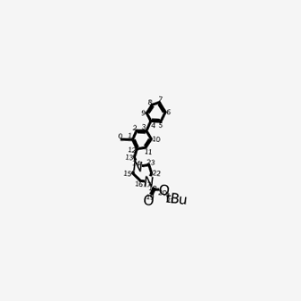 Cc1cc(-c2ccccc2)ccc1CN1CCN(C(=O)OC(C)(C)C)CC1